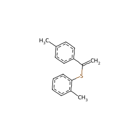 C=C(Sc1ccccc1C)c1ccc(C)cc1